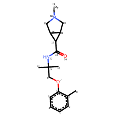 Cc1ccccc1OCC(C)(C)NC(=O)C1C2CN(C(C)C)CC21